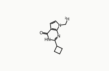 [2H]Cn1ccc2c(=O)[nH]c(C3CCC3)nc21